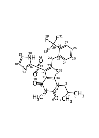 CC(C)Cn1c(=O)n(C)c(=O)c2c(S(=O)(=O)c3ncc[nH]3)c(Cc3ccccc3C(F)(F)F)sc21